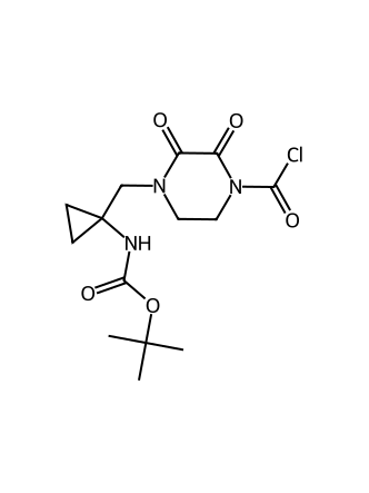 CC(C)(C)OC(=O)NC1(CN2CCN(C(=O)Cl)C(=O)C2=O)CC1